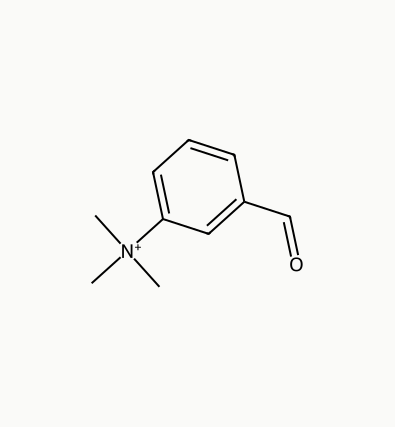 C[N+](C)(C)c1cccc(C=O)c1